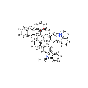 Cn1c2ccccc2c2ccc(-c3cccc4c(-c5cc6ccccc6cc5-c5ccccc5)c5cccc(-c6ccc7c8ccccc8n(C)c7c6)c5cc34)cc21